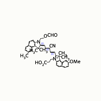 COc1ccc2ccc3c(c2c1)C(C)(C)C(/C=C/C(C#N)=C/C=C1/N(CCOC=O)c2ccc4ccc(C)cc4c2C1(C)C)=[N+]3CCC(=O)O